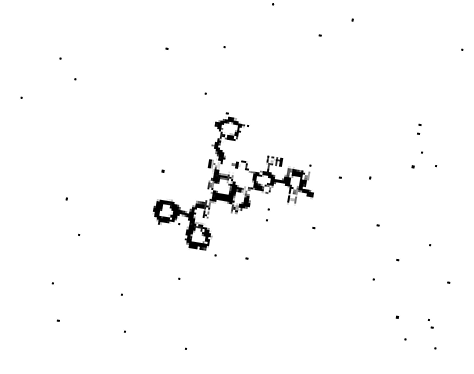 Cc1nnc([C@H]2O[C@@H](n3cnc4c(NCC(c5ccccc5)c5ccccc5)nc(NCCN5CCCC5)nc43)[C@H](O)[C@@H]2O)[nH]1